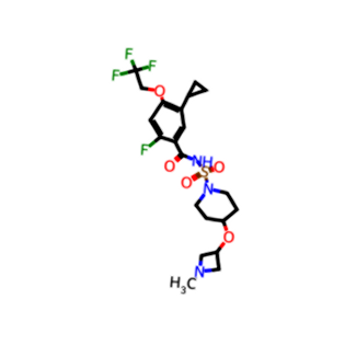 CN1CC(OC2CCN(S(=O)(=O)NC(=O)c3cc(C4CC4)c(OCC(F)(F)F)cc3F)CC2)C1